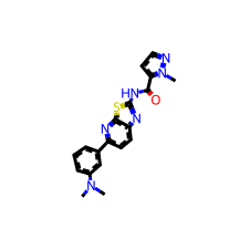 CN(C)c1cccc(-c2ccc3nc(NC(=O)c4ccnn4C)sc3n2)c1